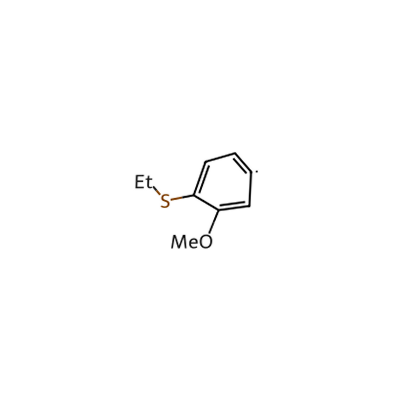 CCSc1cc[c]cc1OC